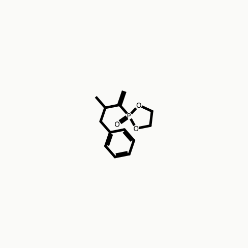 C=C(C(C)Cc1ccccc1)P1(=O)OCCO1